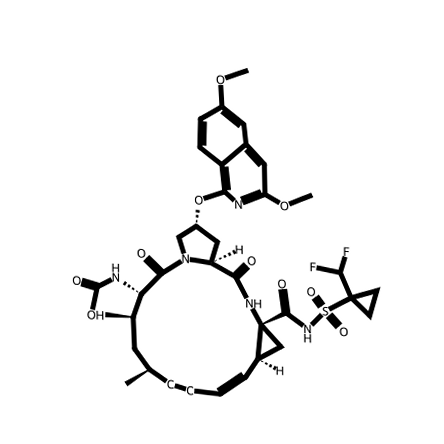 COc1ccc2c(O[C@@H]3C[C@H]4C(=O)N[C@]5(C(=O)NS(=O)(=O)C6(C(F)F)CC6)C[C@H]5C=CCC[C@@H](C)C[C@@H](C)[C@H](NC(=O)O)C(=O)N4C3)nc(OC)cc2c1